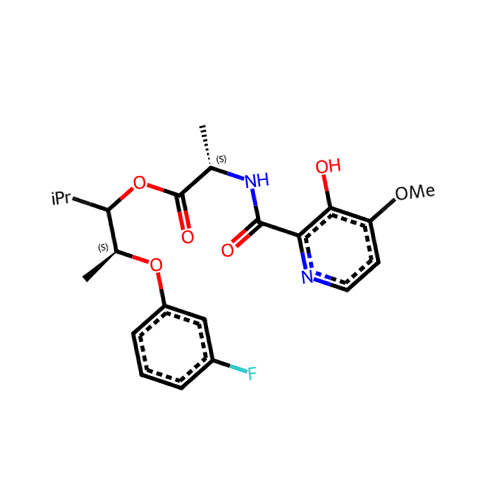 COc1ccnc(C(=O)N[C@@H](C)C(=O)OC(C(C)C)[C@H](C)Oc2cccc(F)c2)c1O